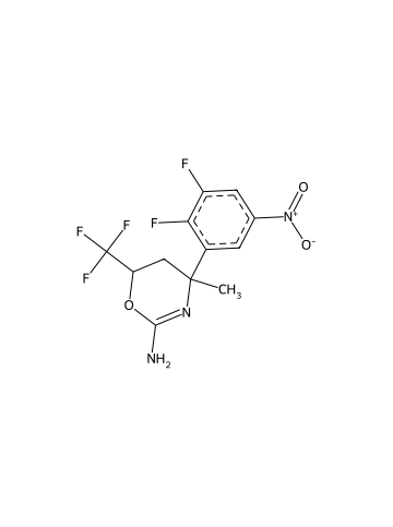 CC1(c2cc([N+](=O)[O-])cc(F)c2F)CC(C(F)(F)F)OC(N)=N1